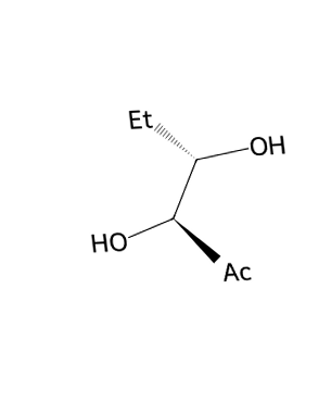 CC[C@H](O)[C@H](O)C(C)=O